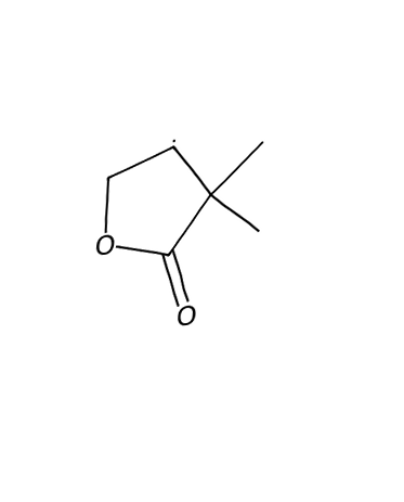 CC1(C)[CH]COC1=O